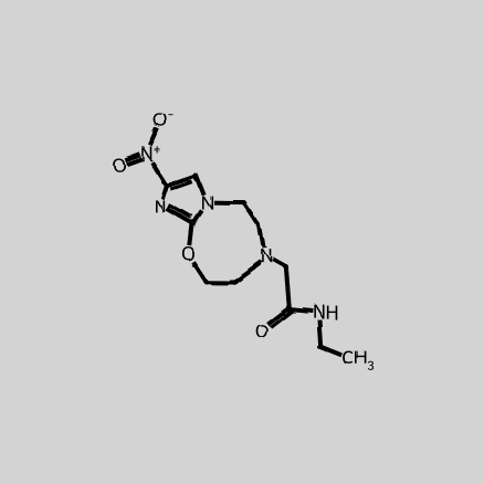 CCNC(=O)CN1CCOc2nc([N+](=O)[O-])cn2CC1